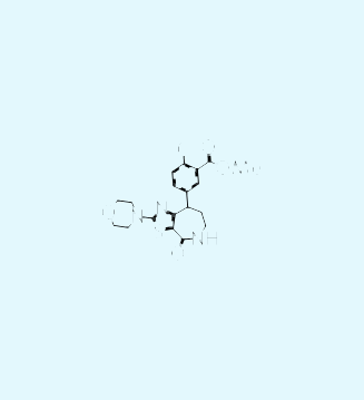 COC(=O)c1cc(C2CCNC(=O)c3sc(N4CCOCC4)nc32)ccc1Cl